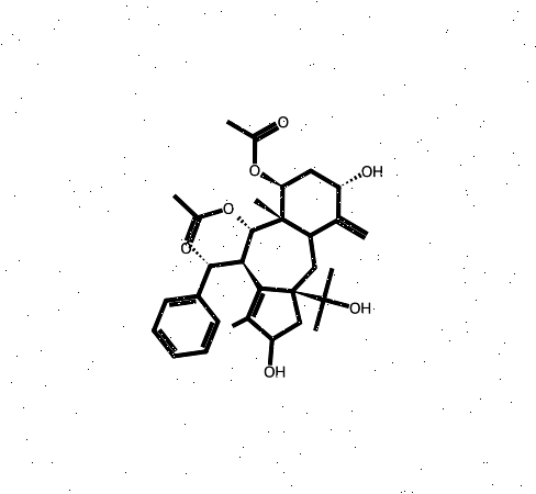 C=C1C2C[C@]3(C(C)(C)O)CC(O)C(C)=C3[C@@H]([C@@H](C)c3ccccc3)[C@H](OC(C)=O)[C@]2(C)[C@@H](OC(C)=O)C[C@@H]1O